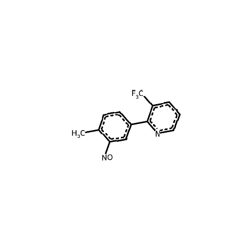 Cc1ccc(-c2ncccc2C(F)(F)F)cc1N=O